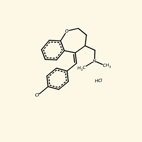 CN(C)CC1CCOc2ccccc2C1=Cc1ccc(Cl)cc1.Cl